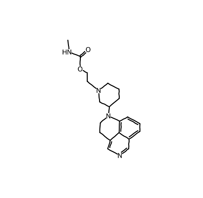 CNC(=O)OCCN1CCCC(N2CCc3cncc4cccc2c34)C1